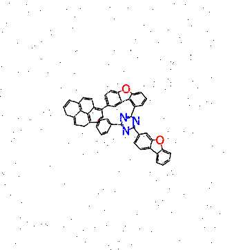 C1=Cc2ccc3c(-c4ccc5oc6cccc(-c7nc(-c8ccccc8)nc(-c8ccc9c(c8)oc8ccccc89)n7)c6c5c4)ccc4c3c2C(=CC4)C1